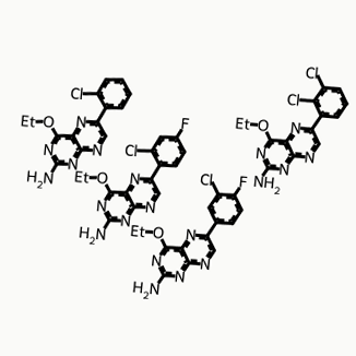 CCOc1nc(N)nc2ncc(-c3ccc(F)c(Cl)c3)nc12.CCOc1nc(N)nc2ncc(-c3ccc(F)cc3Cl)nc12.CCOc1nc(N)nc2ncc(-c3cccc(Cl)c3Cl)nc12.CCOc1nc(N)nc2ncc(-c3ccccc3Cl)nc12